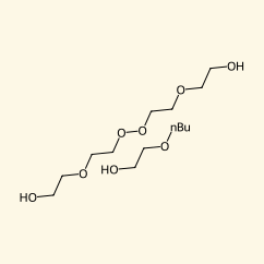 CCCCOCCO.OCCOCCOOCCOCCO